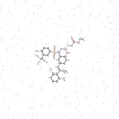 COC(=O)CC[C@H]1CN(S(=O)(=O)c2ccc(F)c(C(F)(F)F)c2)c2cc(/C=C(\C)c3c(F)cccc3Cl)ccc2O1